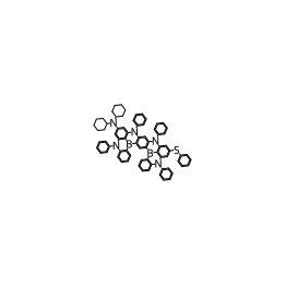 c1ccc(Sc2cc3c4c(c2)N(c2ccccc2)c2cc5c(cc2B4c2ccccc2N3c2ccccc2)B2c3ccccc3N(c3ccccc3)c3cc(N(C4CCCCC4)C4CCCCC4)cc(c32)N5c2ccccc2)cc1